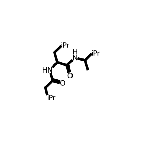 CC(C)CC(=O)NC(CC(C)C)C(=O)NC(C)C(C)C